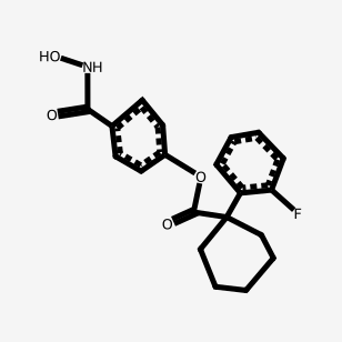 O=C(NO)c1ccc(OC(=O)C2(c3ccccc3F)CCCCC2)cc1